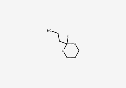 N#CCCC1(F)OCCCO1